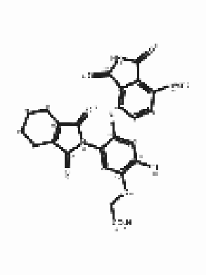 CCCCCc1cccc2c1C(=O)NC2=O.O=C(O)COc1cc(N2C(=O)C3=C(CCCC3)C2=O)c(F)cc1Cl